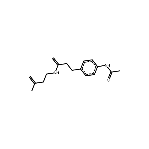 C=C(C)CCNC(=C)CCc1ccc(NC(C)=O)cc1